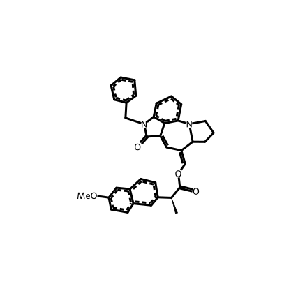 COc1ccc2cc([C@H](C)C(=O)O/C=C3\C=C4C(=O)N(Cc5ccccc5)c5cccc(c54)N4CCCC34)ccc2c1